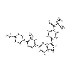 CN1CCC(c2ccc(-c3cnc4[nH]cc(-c5ccc(C(=O)N(C)C)cc5)c4c3)cc2C(F)(F)F)CC1